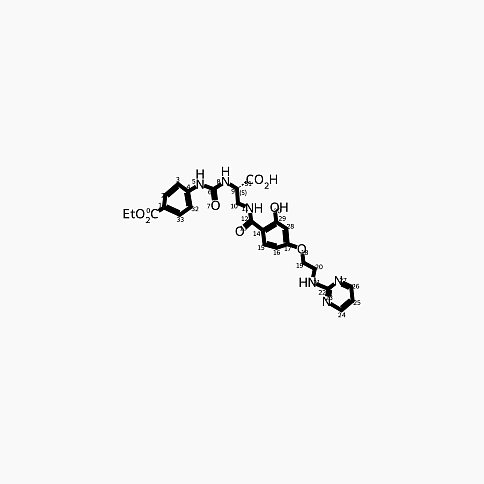 CCOC(=O)c1ccc(NC(=O)N[C@@H](CNC(=O)c2ccc(OCCNc3ncccn3)cc2O)C(=O)O)cc1